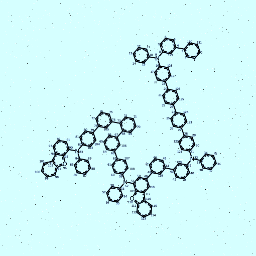 c1ccc(-c2cccc(N(c3ccccc3)c3ccc(-c4ccc(-c5ccc(-c6ccc(N(c7ccccc7)c7cccc(-c8cccc(-c9cc(N(c%10ccccc%10)c%10ccc(-c%11cccc(-c%12ccccc%12-c%12cccc(-c%13ccc(N(c%14ccccc%14)c%14cccc%15c%14oc%14ccccc%14%15)cc%13)c%12)c%11)cc%10)c%10oc%11ccccc%11c%10c9)c8)c7)cc6)cc5)cc4)cc3)c2)cc1